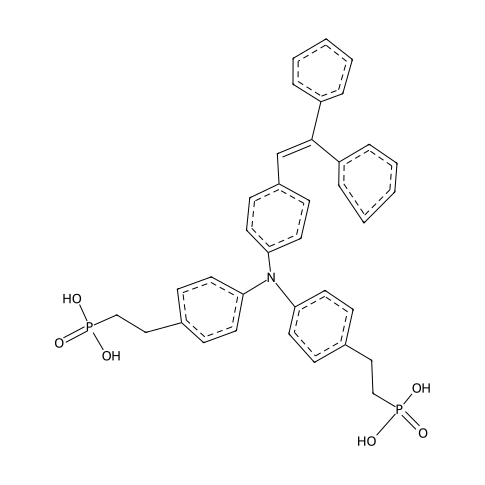 O=P(O)(O)CCc1ccc(N(c2ccc(C=C(c3ccccc3)c3ccccc3)cc2)c2ccc(CCP(=O)(O)O)cc2)cc1